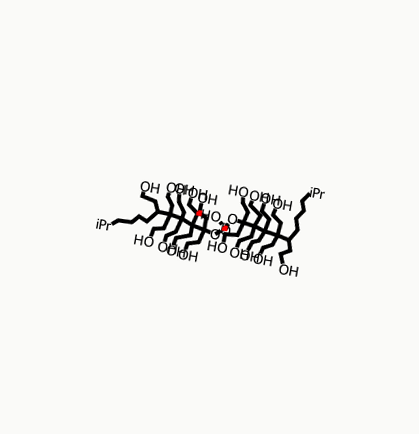 CC(C)CCCCC(CCO)C(CCO)(CCO)C(CCO)(CCO)C(CCO)(CCO)C(CCO)(CCO)OP(=O)(O)OC(CCO)(CCO)C(CCO)(CCO)C(CCO)(CCO)C(CCO)(CCO)C(CCO)CCCCC(C)C